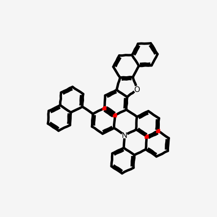 c1ccc(-c2ccccc2N(c2ccc(-c3cccc4ccccc34)cc2)c2ccccc2-c2cccc3c2oc2c4ccccc4ccc32)cc1